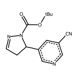 CC(C)(C)OC(=O)N1N=CCC1c1cncc(C#N)c1